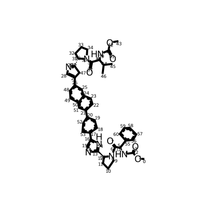 COC(=O)N[C@H](C(=O)N1CCC[C@H]1c1ncc(-c2ccc(-c3ccc4cc(C5=CN=C([C@@H]6CCCN6C(=O)[C@@H](NC(=O)OC)C(C)C)C5)ccc4c3)cc2)[nH]1)c1ccccc1